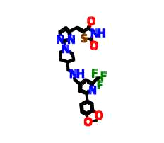 O=C1NC(=O)C(=Cc2ccnc(N3CCC(CNCc4cc(-c5ccc6c(c5)OCO6)nc(C(F)(F)F)c4)CC3)n2)S1